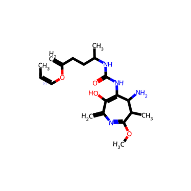 C=C(CCC(C)NC(=O)NC1=C(O)C(=C)N=C(OC)C(C)C1N)O/C=C\C